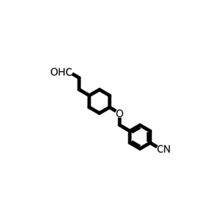 N#Cc1ccc(COC2CCC(CCC=O)CC2)cc1